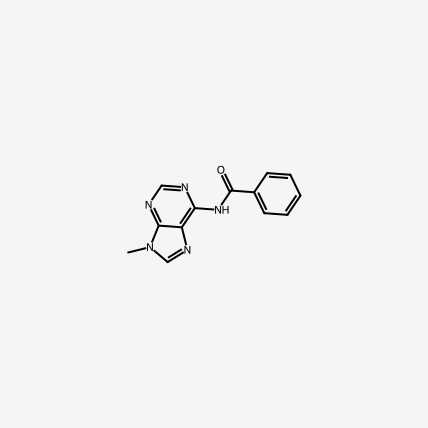 Cn1cnc2c(NC(=O)c3ccccc3)ncnc21